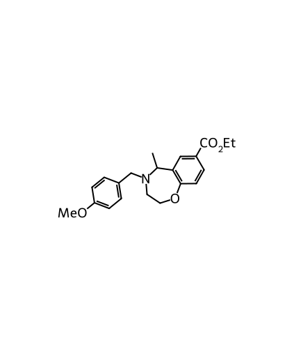 CCOC(=O)c1ccc2c(c1)C(C)N(Cc1ccc(OC)cc1)CCO2